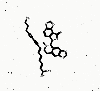 CCCC(O)/C=C/C=C/C=C/C#CC#CCCCO.CN1CCc2cc3c(cc2[C@H]1[C@@H]1OC(=O)c2c1ccc1c2OCO1)OCO3